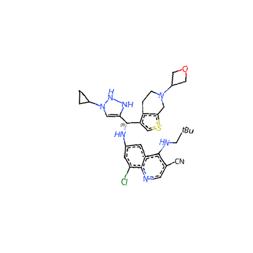 CC(C)(C)CNc1c(C#N)cnc2c(Cl)cc(N[C@H](C3=CN(C4CC4)NN3)c3csc4c3CCN(C3COC3)C4)cc12